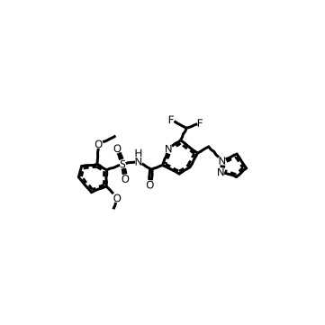 COc1cccc(OC)c1S(=O)(=O)NC(=O)c1ccc(Cn2cccn2)c(C(F)F)n1